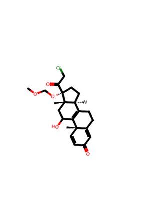 COCO[C@]1(C(=O)CCl)CC[C@H]2C3=C(C(O)C[C@@]21C)[C@@]1(C)C=CC(=O)C=C1CC3